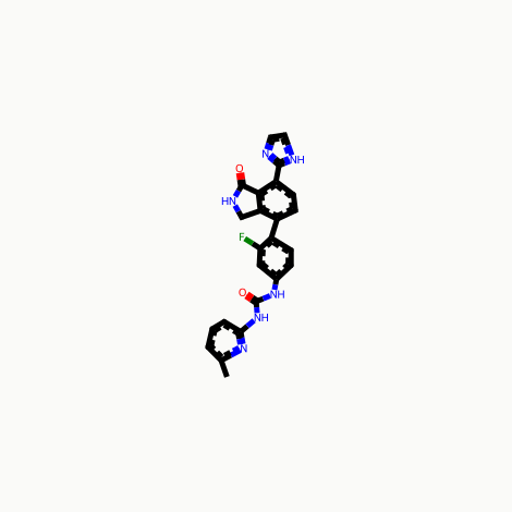 Cc1cccc(NC(=O)Nc2ccc(-c3ccc(-c4ncc[nH]4)c4c3CNC4=O)c(F)c2)n1